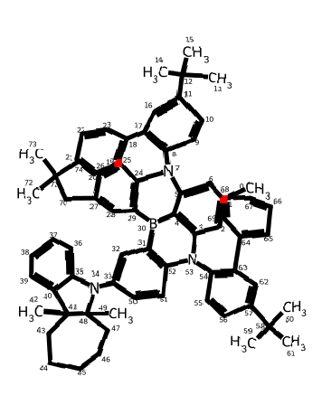 Cc1cc2c3c(c1)N(c1ccc(C(C)(C)C)cc1-c1ccccc1)c1cc4c(cc1B3c1cc(N3c5ccccc5C5(C)CCCCCC35C)ccc1N2c1ccc(C(C)(C)C)cc1-c1ccccc1)CC(C)(C)C4